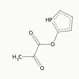 CC(=O)C(=O)Oc1ccc[pH]1